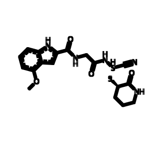 COc1cccc2[nH]c(C(=O)NCC(=O)N[SH](C#N)S[C@@H]3CCCNC3=O)cc12